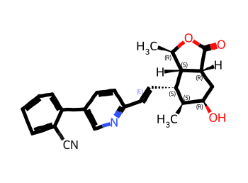 C[C@H]1[C@H](/C=C/c2ccc(-c3ccccc3C#N)cn2)[C@@H]2[C@@H](C)OC(=O)[C@@H]2C[C@H]1O